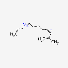 C=CC/N=C\CCC/C=C\C(=C)C